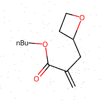 C=C(CC1CCO1)C(=O)OCCCC